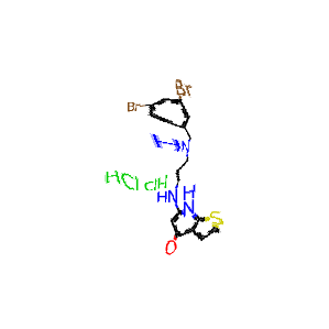 Cl.Cl.O=c1cc(NCCCNCc2cc(Br)cc(Br)c2)[nH]c2sccc12